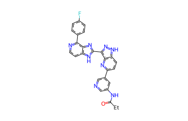 CCC(=O)Nc1cncc(-c2ccc3[nH]nc(-c4nc5c(-c6ccc(F)cc6)nccc5[nH]4)c3n2)c1